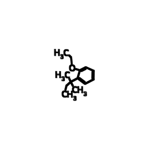 CCOc1ccccc1C(C)(C)CC